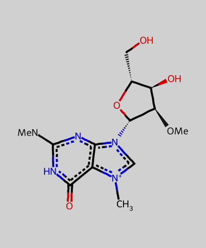 CNc1nc2c(c(=O)[nH]1)[n+](C)cn2[C@@H]1O[C@H](CO)[C@@H](O)[C@H]1OC